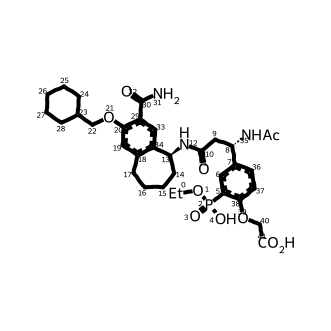 CCOP(=O)(O)c1cc([C@H](CC(=O)N[C@H]2CCCCc3cc(OCC4CCCCC4)c(C(N)=O)cc32)NC(C)=O)ccc1OCC(=O)O